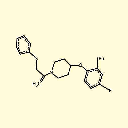 C=C(CSc1ccccc1)N1CCC(Oc2ccc(F)cc2C(C)(C)C)CC1